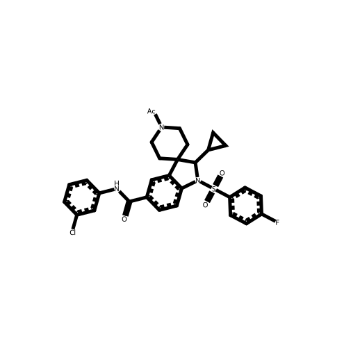 CC(=O)N1CCC2(CC1)c1cc(C(=O)Nc3cccc(Cl)c3)ccc1N(S(=O)(=O)c1ccc(F)cc1)C2C1CC1